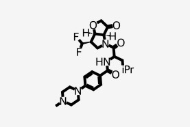 CC(C)CC(NC(=O)c1ccc(N2CCN(C)CC2)cc1)C(=O)N1C[C@@H](C(F)F)[C@H]2OCC(=O)[C@H]21